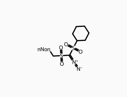 CCCCCCCCCCS(=O)(=O)C(=[N+]=[N-])S(=O)(=O)C1CCCCC1